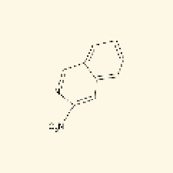 O=[N+]([O-])c1cc2ccccc2[c]n1